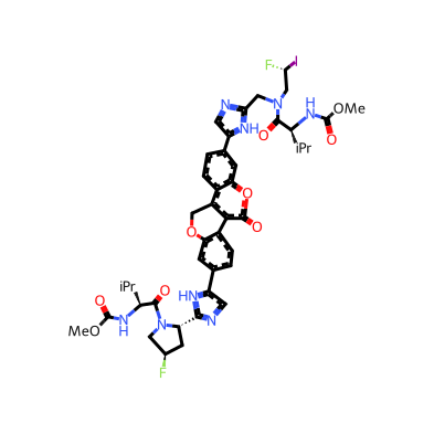 COC(=O)N[C@H](C(=O)N(Cc1ncc(-c2ccc3c4c(c(=O)oc3c2)-c2ccc(-c3cnc([C@@H]5C[C@@H](F)CN5C(=O)[C@@H](NC(=O)OC)C(C)C)[nH]3)cc2OC4)[nH]1)C[C@H](F)I)C(C)C